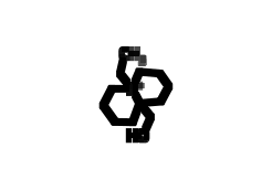 CC[N+]12CCCCC1(CO)CCCC2